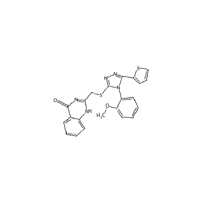 COc1ccccc1-n1c(SCc2nc(=O)c3ccccc3[nH]2)nnc1-c1cccs1